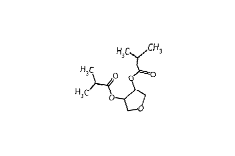 CC(C)C(=O)OC1COCC1OC(=O)C(C)C